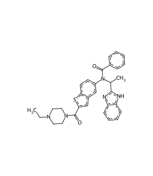 CCN1CCN(C(=O)c2cc3cc(N(C(=O)c4ccccc4)C(C)c4nc5ccccc5[nH]4)ccc3s2)CC1